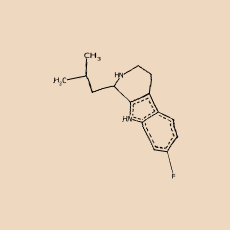 CC(C)CC1NCCc2c1[nH]c1cc(F)ccc21